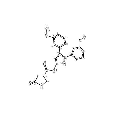 CCOc1cccc(-n2nc(NC(=O)[C@@H]3CNC(=O)C3)cc2-c2cccc(OC(F)(F)F)c2)c1